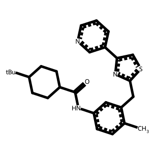 Cc1ccc(NC(=O)C2CCC(C(C)(C)C)CC2)cc1Cc1nc(-c2cccnc2)cs1